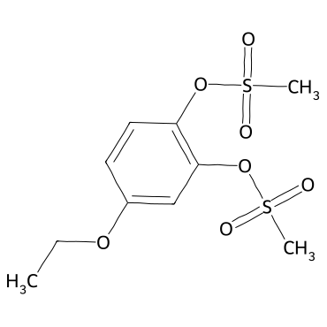 CCOc1ccc(OS(C)(=O)=O)c(OS(C)(=O)=O)c1